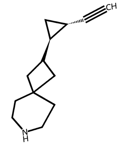 C#C[C@H]1C[C@@H]1C1CC2(CCNCC2)C1